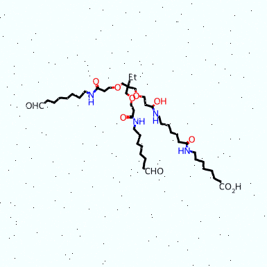 CCC(COCCC(=O)NCCCCCCCC=O)(COCCC(=O)NCCCCCCCC=O)COCCC(O)NCCCCCCC(=O)NCCCCCCCC(=O)O